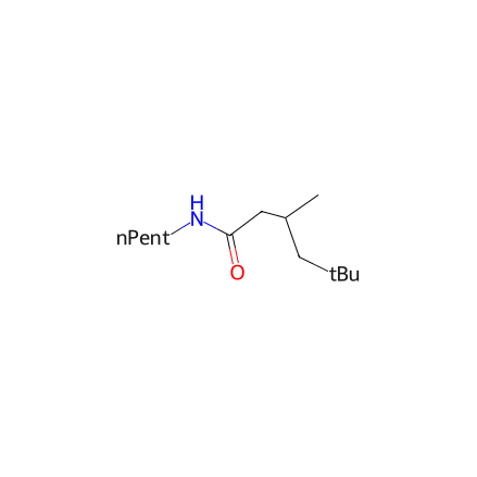 CCCCCNC(=O)CC(C)CC(C)(C)C